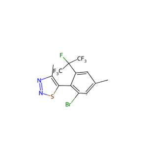 Cc1[c]c(Br)c(-c2snnc2C)c(C(F)(C(F)(F)F)C(F)(F)F)c1